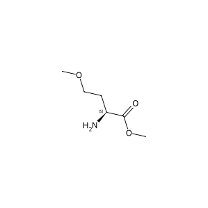 COCC[C@H](N)C(=O)OC